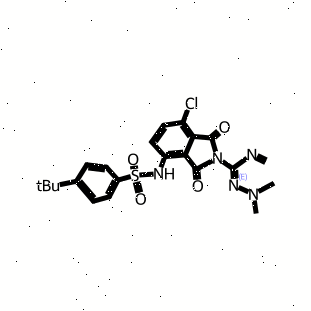 C=N/C(=N\N(C)C)N1C(=O)c2c(Cl)ccc(NS(=O)(=O)c3ccc(C(C)(C)C)cc3)c2C1=O